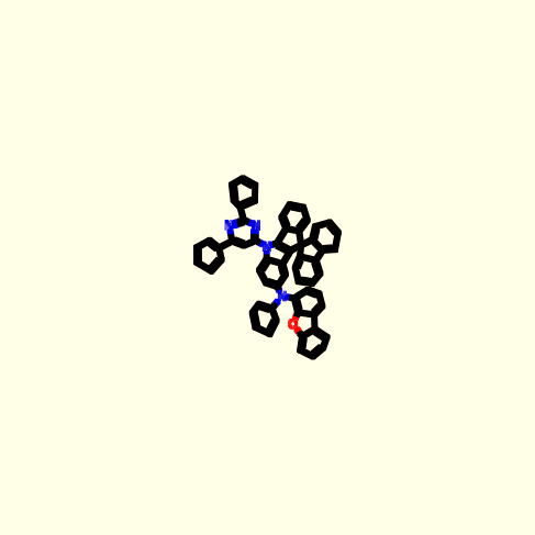 c1ccc(-c2cc(-n3c4c(c5cc(N(c6ccccc6)c6cccc7c6oc6ccccc67)ccc53)C3(c5ccccc5-c5ccccc53)c3ccccc3-4)nc(-c3ccccc3)n2)cc1